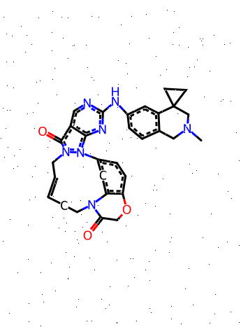 CN1Cc2ccc(Nc3ncc4c(=O)n5n(c4n3)-c3ccc4c(c3)N(CC/C=C/C5)C(=O)CO4)cc2C2(CC2)C1